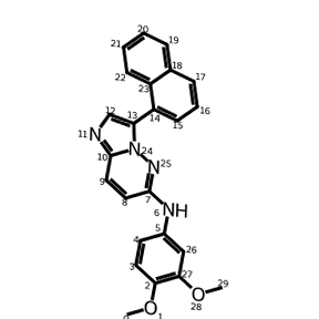 COc1ccc(Nc2ccc3ncc(-c4cccc5ccccc45)n3n2)cc1OC